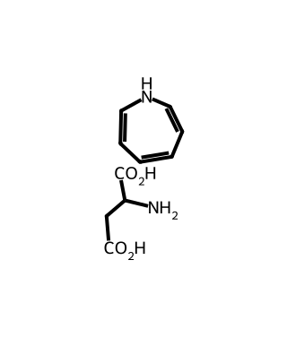 C1=CC=CNC=C1.NC(CC(=O)O)C(=O)O